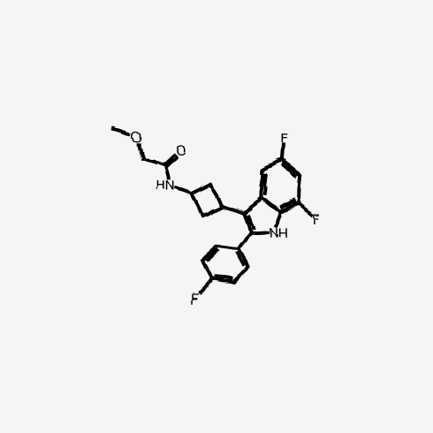 COCC(=O)NC1CC(c2c(-c3ccc(F)cc3)[nH]c3c(F)cc(F)cc23)C1